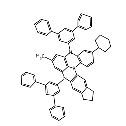 Cc1cc2c3c(c1)N(c1cc(-c4ccccc4)cc(-c4ccccc4)c1)c1cc4c(cc1B3c1ccc(C3CCCCC3)cc1N2c1cc(-c2ccccc2)cc(-c2ccccc2)c1)CCC4